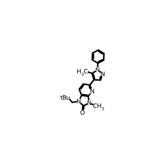 Cc1c(-c2ccc3c(n2)n(C)c(=O)n3CC(C)(C)C)cnn1-c1ccccc1